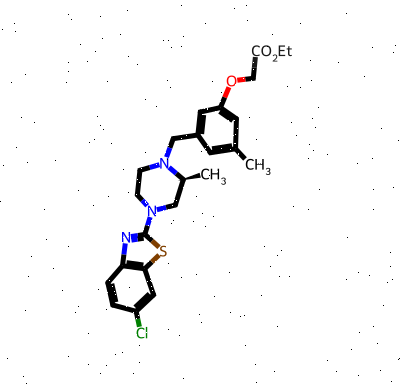 CCOC(=O)COc1cc(C)cc(CN2CCN(c3nc4ccc(Cl)cc4s3)C[C@@H]2C)c1